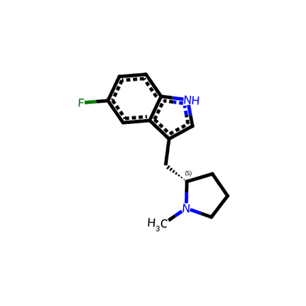 CN1CCC[C@H]1Cc1c[nH]c2ccc(F)cc12